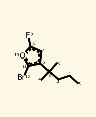 CCCC(C)(C)c1cc(F)oc1Br